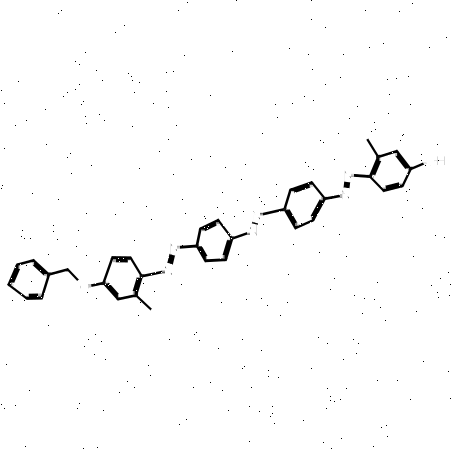 Cc1cc(O)ccc1/N=N/c1ccc(/N=N/c2ccc(/N=N/c3ccc(OCc4ccccc4)cc3C)cc2)cc1